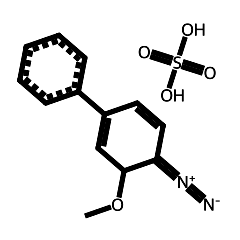 COC1C=C(c2ccccc2)C=CC1=[N+]=[N-].O=S(=O)(O)O